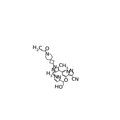 C=CC(=O)N1CCC2(CC1)CC(n1ncc(-c3cc(OC(CO)c4ccn(C)n4)c4c(C#N)cnn4c3)c1C)C2